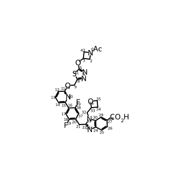 CC(=O)N1CC(Oc2nnc(COc3cccc(-c4cc(F)c(Cc5nc6ccc(C(=O)O)cc6n5CC5CCO5)cc4F)n3)s2)C1